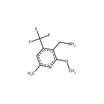 COc1nc(C)cc(C(F)(F)F)c1CN